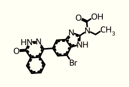 CCN(C(=O)O)c1nc2cc(-c3n[nH]c(=O)c4ccccc34)cc(Br)c2[nH]1